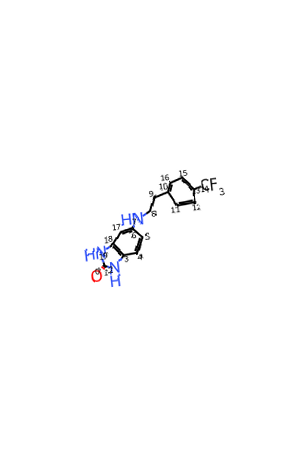 O=c1[nH]c2ccc(NCCc3ccc(C(F)(F)F)cc3)cc2[nH]1